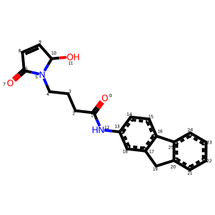 O=C(CCCN1C(=O)C=CC1O)Nc1ccc2c(c1)Cc1ccccc1-2